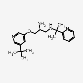 CC(C)(C)c1cncc(OC[C@@H](N)CNC(C)(C)c2ccccn2)c1